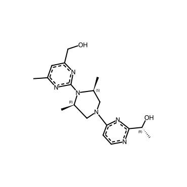 Cc1cc(CO)nc(N2[C@H](C)CN(c3ccnc([C@@H](C)O)n3)C[C@@H]2C)n1